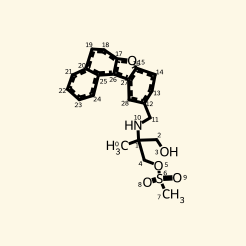 CC(CO)(COS(C)(=O)=O)NCc1ccc2oc3ccc4ccccc4c3c2c1